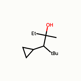 [CH2]CC(C)(O)C(C1CC1)C(C)(C)C